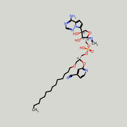 C=N[C@]1(COP(=O)(O)OC[C@@H](COCCCCCCCCCCCCCC)Oc2cc(C#N)ccn2)OC[C@@](O)(c2ccc3c(N)ncnn23)[C@@H]1O